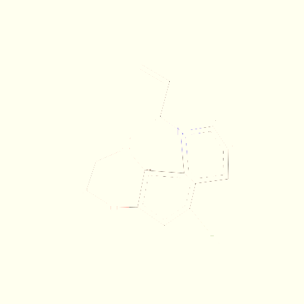 C=CC[n+]1cccc2c(F)cc3c(c21)OCCO3.[I-]